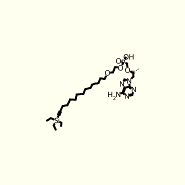 CC[Si](C#CCCCCCCCCCCCCOCCOP(=O)(O)CO[C@H](C)Cn1cnc2c(N)ncnc21)(CC)CC